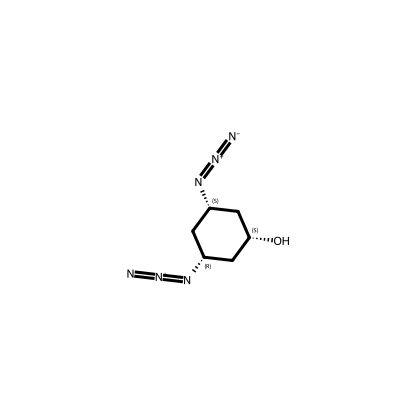 [N-]=[N+]=N[C@@H]1C[C@H](O)C[C@H](N=[N+]=[N-])C1